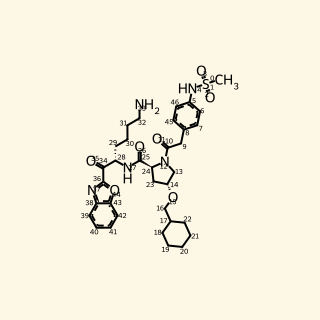 CS(=O)(=O)Nc1ccc(CC(=O)N2C[C@H](OCC3CCCCC3)C[C@H]2C(=O)N[C@@H](CCCCN)C(=O)c2nc3ccccc3o2)cc1